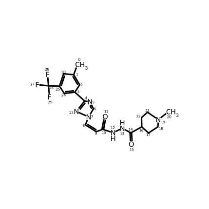 Cc1cc(-c2ncn(/C=C\C(=O)NNC(=O)C3CCN(C)CC3)n2)cc(C(F)(F)F)c1